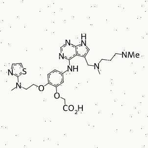 CNCCCN(C)Cc1c[nH]c2ncnc(Nc3ccc(OCCN(C)c4nccs4)c(OCC(=O)O)c3)c12